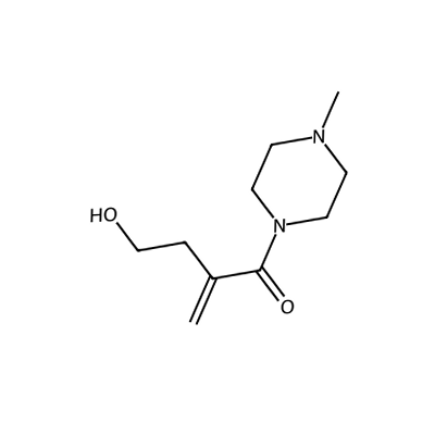 C=C(CCO)C(=O)N1CCN(C)CC1